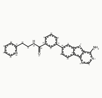 Nc1ncnc2c1sc1cc(-c3cccc(C(=O)NCCc4ccccn4)c3)ccc12